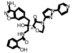 Nc1noc2cc(CC(O)(CNC(=O)c3ccccc3O)[C@H]3OCCN(c4ccn(-c5ccncc5)n4)C3=O)ccc12